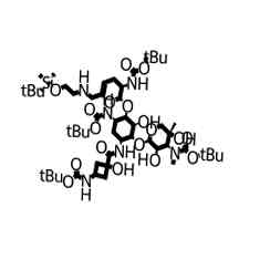 CN(C(=O)OC(C)(C)C)[C@@H]1[C@@H](O)[C@@H](O[C@@H]2[C@@H](O)[C@H](O[C@H]3OC(CNCCO[Si](C)(C)C(C)(C)C)=CC[C@H]3NC(=O)OC(C)(C)C)[C@@H](NC(=O)OC(C)(C)C)C[C@H]2NC(=O)C2(O)CC(NC(=O)OC(C)(C)C)C2)OC[C@]1(C)O